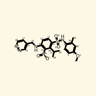 COc1ccc(NS(=O)(=O)c2ccc(NCc3ccnnc3)c([N+](=O)[O-])c2C(C)C)c(C)c1